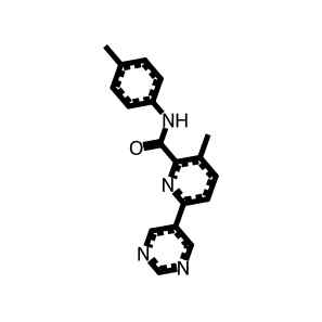 Cc1ccc(NC(=O)c2nc(-c3cncnc3)ccc2C)cc1